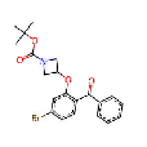 CC(C)(C)OC(=O)N1CC(Oc2cc(Br)ccc2C(=O)c2ccccc2)C1